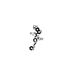 COc1ccc2nccc(C(N)CC[C@@H]3CCN(CCSc4ccccn4)C[C@@H]3C(=O)O)c2c1